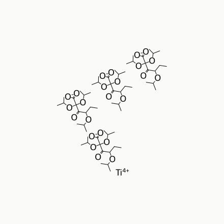 CCC(OC(C)C)C(=O)C(OC(C)C)(OC(C)C)C(=O)[O-].CCC(OC(C)C)C(=O)C(OC(C)C)(OC(C)C)C(=O)[O-].CCC(OC(C)C)C(=O)C(OC(C)C)(OC(C)C)C(=O)[O-].CCC(OC(C)C)C(=O)C(OC(C)C)(OC(C)C)C(=O)[O-].[Ti+4]